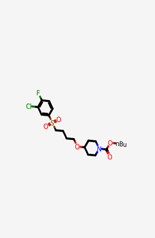 CCCCOC(=O)N1CCC(OCCCCS(=O)(=O)c2ccc(F)c(Cl)c2)CC1